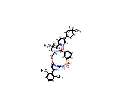 Cc1cccc(C)c1-c1cc2nc(n1)NS(=O)(=O)c1cccc(c1)C(=O)N(Cc1ccc(C3CCC(C)(C)CC3)cn1)[C@H](CC(C)(C)C)CO2